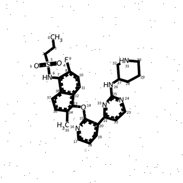 CCCS(=O)(=O)Nc1c(F)ccc2c(Oc3ncccc3-c3ccnc(NC4CCCNC4)n3)c(C)ccc12